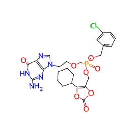 Nc1nc2c(ncn2CCOCP(=O)(OCc2cccc(Cl)c2)OCc2oc(=O)oc2C2CCCCC2)c(=O)[nH]1